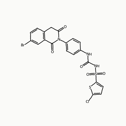 O=C(Nc1ccc(N2C(=O)Cc3ccc(Br)cc3C2=O)cc1)NS(=O)(=O)c1ccc(Cl)s1